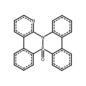 O=P12c3ccccc3-c3ccccc3N1c1ncccc1-c1ccccc12